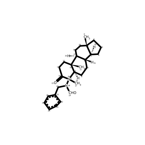 C[C@@]12CCC[C@H]1[C@@H]1CC[C@@H]3[C@](C)(CCC(=O)[N+]3(C)N(C=O)Cc3ccccc3)[C@H]1CC2